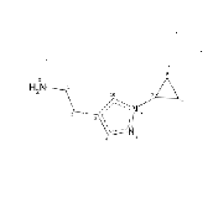 NCCc1cnn(C2CC2)c1